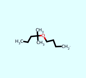 [CH2]CCCOC(C)(C)CCC